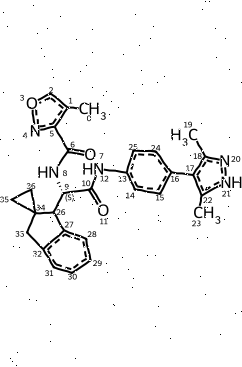 Cc1conc1C(=O)N[C@H](C(=O)Nc1ccc(-c2c(C)n[nH]c2C)cc1)C1c2ccccc2CC12CC2